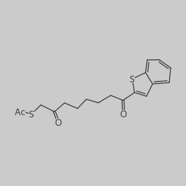 CC(=O)SCC(=O)CCCCCC(=O)c1cc2ccccc2s1